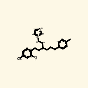 Cc1ccc(CCCC(CCc2ccc(Cl)cc2Cl)CCn2ccnc2)cc1